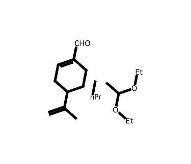 C=C(C)C1CC=C(C=O)CC1.CCCC.CCOC(C)OCC